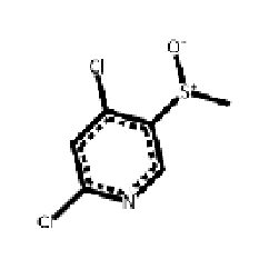 C[S+]([O-])c1cnc(Cl)cc1Cl